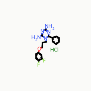 Cl.NC1=NC(c2ccccc2)N(CCCOc2ccc(F)c(F)c2)C(N)=N1